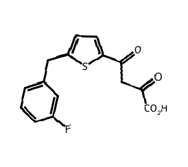 O=C(O)C(=O)CC(=O)c1ccc(Cc2cccc(F)c2)s1